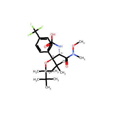 CON(C)C(=O)[C@@H](NC(=O)O)[C@@](O[Si](C)(C)C(C)(C)C)(c1ccc(C(F)(F)F)cc1)C(C)(C)C